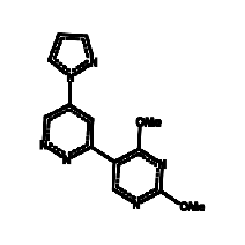 COc1ncc(-c2cc(-n3cccn3)cnn2)c(OC)n1